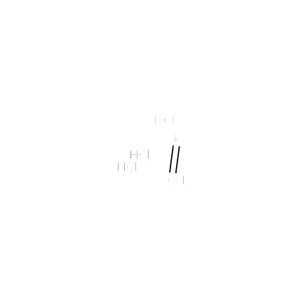 C=[P].Cl.Cl.Cl